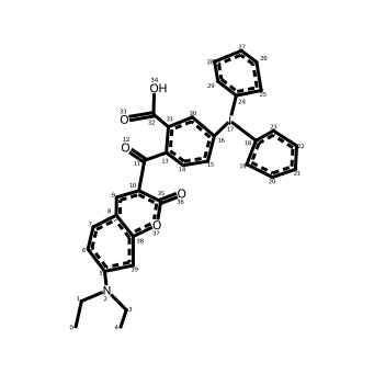 CCN(CC)c1ccc2cc(C(=O)c3ccc(I(c4ccccc4)c4ccccc4)cc3C(=O)O)c(=O)oc2c1